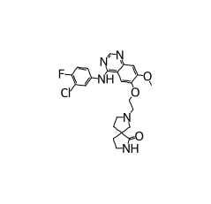 COc1cc2ncnc(Nc3ccc(F)c(Cl)c3)c2cc1OCCN1CCC2(CCNC2=O)C1